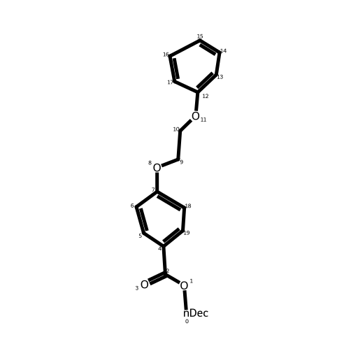 CCCCCCCCCCOC(=O)c1ccc(OCCOc2ccccc2)cc1